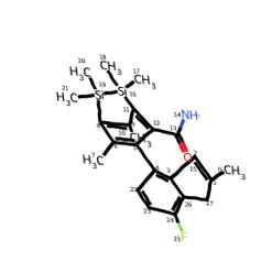 CC1=Cc2c(-c3c(C)c4c(C)c(c3C([NH])=O)[Si](C)(C)[Si]4(C)C)ccc(F)c2C1